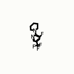 Fc1cc(C(F)(F)F)cnc1N1CCCCC1